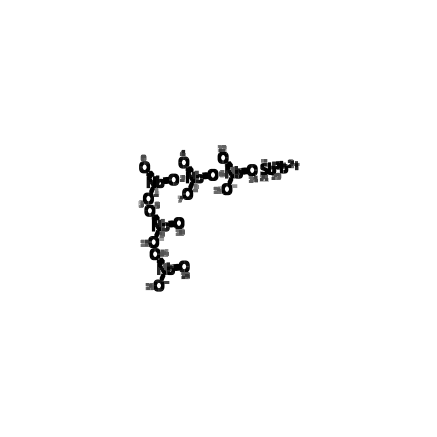 [O]=[Nb](=[O])[O-].[O]=[Nb](=[O])[O-].[O]=[Nb](=[O])[O-].[O]=[Nb](=[O])[O-].[O]=[Nb](=[O])[O-].[Pb+2].[Sb+3]